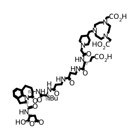 CC[C@H](C)[C@H](NC(=O)CCNC(=O)CCNC(=O)[C@@H](CCC(=O)O)NC(=O)CN1CCC(CN2CCN(CC(=O)O)CCN(CC(=O)O)CC2)CC1)C(=O)N[C@H]1CCc2cccc3c2N(C1=O)[C@H](C(=O)N[C@@H]1CC(=O)O[C@H]1O)C3